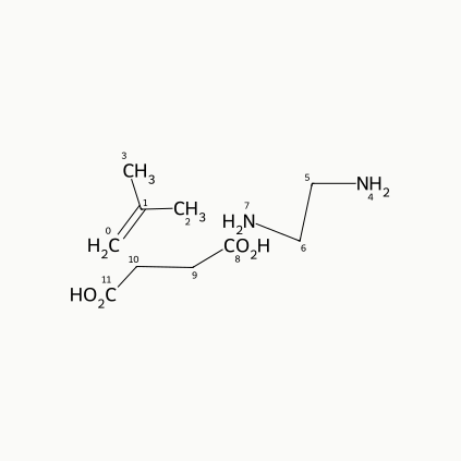 C=C(C)C.NCCN.O=C(O)CCC(=O)O